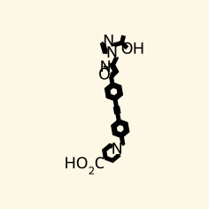 CC(O)c1nccn1Cc1cc(-c2ccc(C#Cc3ccc(CN4CCC(C(=O)O)CC4)cc3)cc2)on1